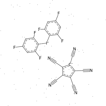 Fc1cc(F)c([I+]c2c(F)cc(F)cc2F)c(F)c1.N#Cc1c(C#N)c(C#N)[c-](C#N)c1C#N